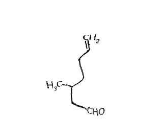 C=CCCC(C)CC=O